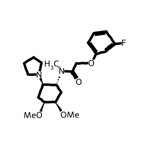 CO[C@H]1C[C@@H](N2CCCC2)[C@H](N(C)C(=O)COc2cccc(F)c2)C[C@H]1OC